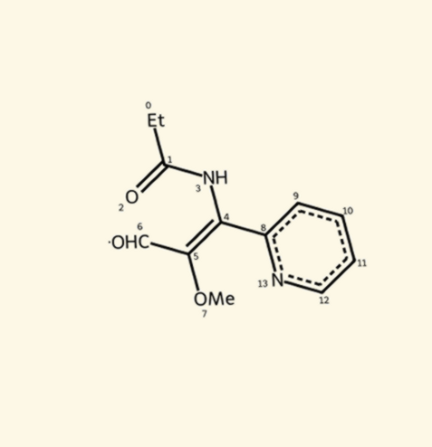 CCC(=O)N/C(=C(\[C]=O)OC)c1ccccn1